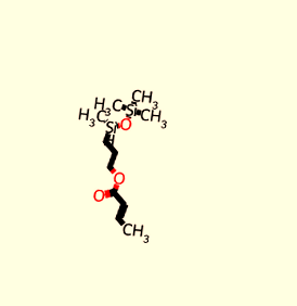 CC=CC(=O)OCCC[SiH](C)O[Si](C)(C)C